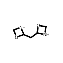 C1NC(CC2NCO2)O1